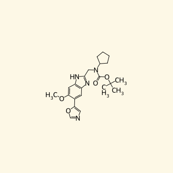 COc1cc2[nH]c(CN(C(=O)OC(C)(C)C)C3CCCC3)nc2cc1-c1cnco1